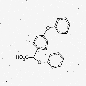 O=C(O)C(Oc1ccccc1)c1ccc(Oc2ccccc2)cc1